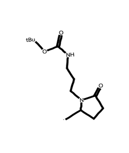 [CH2]C1CCC(=O)N1CCCNC(=O)OC(C)(C)C